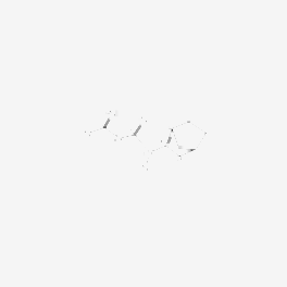 N=C(N)NC(=N)N(N)C1=C2CCC(C2)C1